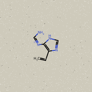 C=Cc1nc[nH]c1/N=C\N